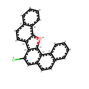 Clc1cc2ccc3ccccc3c2c2oc3c4ccccc4ccc3c12